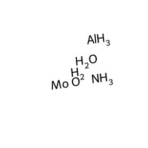 N.O.O.[AlH3].[Mo]